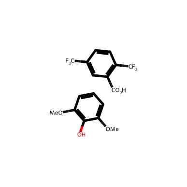 COc1cccc(OC)c1O.O=C(O)c1cc(C(F)(F)F)ccc1C(F)(F)F